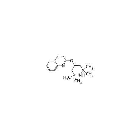 CC1(C)CC(Oc2ccc3ccccc3n2)CC(C)(C)N1